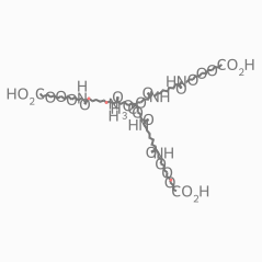 CC(COCCC(=O)NCCCCCCCC(=O)NCCOCCOCCOCCC(=O)O)(COCCC(=O)NCCCCCCCC(=O)NCCOCCOCCOCCC(=O)O)COCCC(=O)NCCCCCCCC(=O)NCCOCCOCCOCCC(=O)O